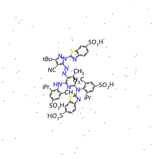 Cc1cc(N(c2nc3ccc(S(=O)(=O)O)cc3s2)c2c(C)cc(S(=O)(=O)O)cc2C(C)C)nc(Nc2c(C)cc(S(=O)(=O)O)cc2C(C)C)c1N=Nc1c(C#N)c(C(C)(C)C)nn1-c1nc2ccc(S(=O)(=O)O)cc2s1